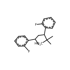 CC(CC(c1ccccc1F)C(C)(C)C(=O)O)c1ccccc1F